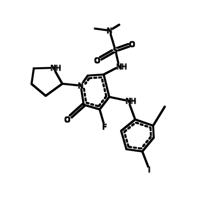 Cc1cc(I)ccc1Nc1c(NS(=O)(=O)N(C)C)cn(C2CCCN2)c(=O)c1F